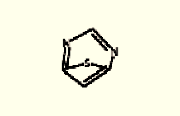 c1nc2cc(n1)S2